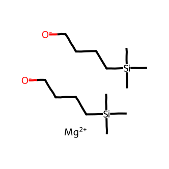 C[Si](C)(C)CCCC[O-].C[Si](C)(C)CCCC[O-].[Mg+2]